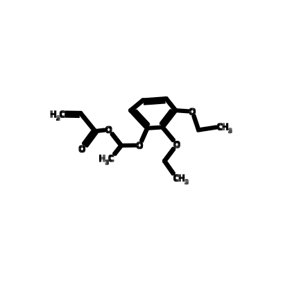 C=CC(=O)OC(C)Oc1cccc(OCC)c1OCC